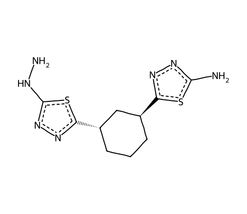 NNc1nnc([C@H]2CCC[C@H](c3nnc(N)s3)C2)s1